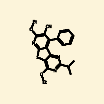 CCOc1nc2sc3c(OCC)nc(N(C)C)nc3c2c(-c2ccccc2)c1C#N